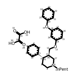 CCCCCN1CC[C@H](c2ccccc2)[C@@H](COc2cccc(Oc3ccccc3)c2)C1.O=C(O)C(=O)O